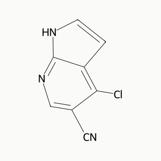 N#Cc1cnc2[nH]ccc2c1Cl